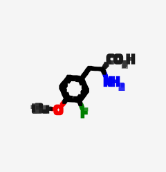 CC(C)(C)Oc1ccc(C[C@H](N)C(=O)O)cc1F